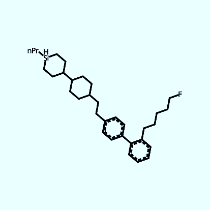 CCC[SiH]1CCC(C2CCC(CCc3ccc(-c4ccccc4CCCCCF)cc3)CC2)CC1